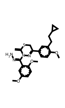 C=C1SCC(c2ccc(OC)c(CCC3CC3)c2)=NN1/C(=N\N)c1cc(OC)ccc1OC